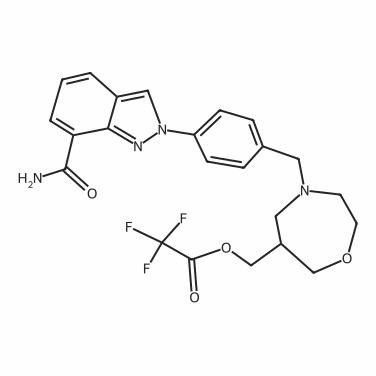 NC(=O)c1cccc2cn(-c3ccc(CN4CCOCC(COC(=O)C(F)(F)F)C4)cc3)nc12